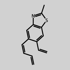 C=C/C=C\c1cc2nc(C)sc2cc1C=C